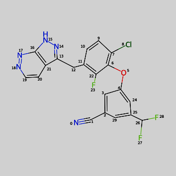 N#Cc1cc(Oc2c(Cl)ccc(Cc3n[nH]c4nnccc34)c2F)cc(C(F)F)c1